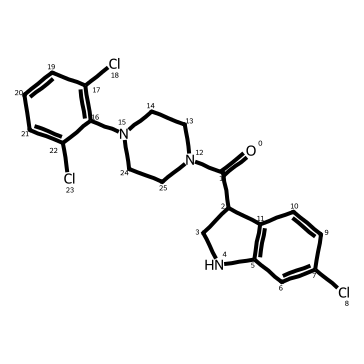 O=C(C1CNc2cc(Cl)ccc21)N1CCN(c2c(Cl)cccc2Cl)CC1